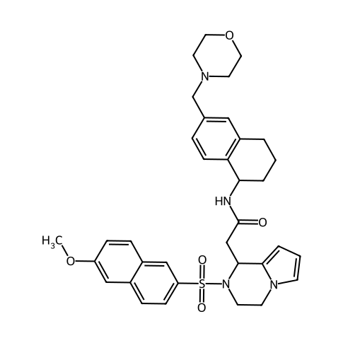 COc1ccc2cc(S(=O)(=O)N3CCn4cccc4C3CC(=O)NC3CCCc4cc(CN5CCOCC5)ccc43)ccc2c1